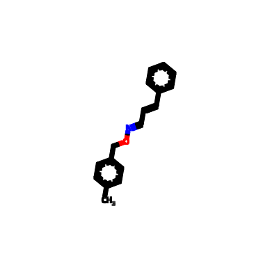 Cc1ccc(CON=CC=Cc2ccccc2)cc1